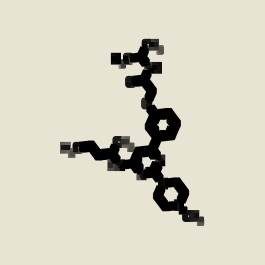 C=C/C=C(\C)Nc1cc(-c2cccc(OCC(=O)NC(C)C)c2)nc(N2CCN(C)CC2)n1